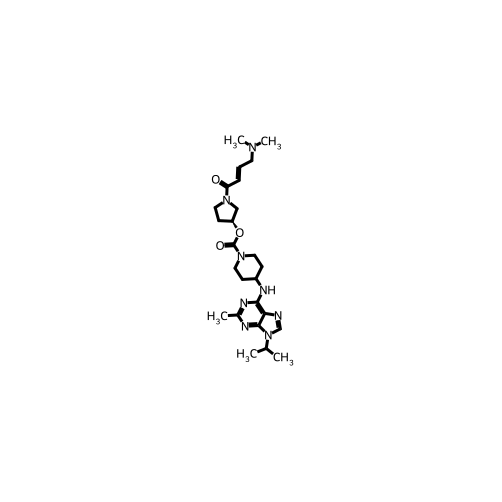 Cc1nc(NC2CCN(C(=O)O[C@H]3CCN(C(=O)/C=C/CN(C)C)C3)CC2)c2ncn(C(C)C)c2n1